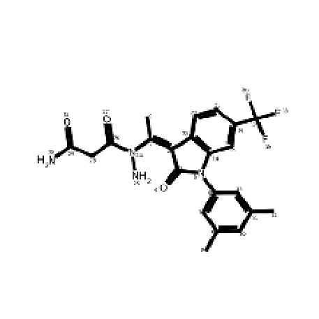 C/C(=C1/C(=O)N(c2cc(C)cc(C)c2)c2cc(C(F)(F)F)ccc21)N(N)C(=O)CC(N)=O